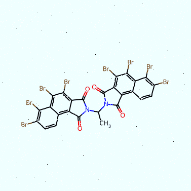 CC(N1C(=O)c2c(Br)c(Br)c3c(Br)c(Br)ccc3c2C1=O)N1C(=O)c2c(Br)c(Br)c3c(Br)c(Br)ccc3c2C1=O